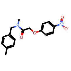 Cc1ccc(CN(C)C(=O)COc2ccc([N+](=O)[O-])cc2)cc1